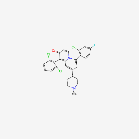 CC(C)(C)N1CCC(c2cc(-c3ccc(F)cc3Cl)n3ccc(=O)c(-c4c(Cl)cccc4Cl)c3c2)CC1